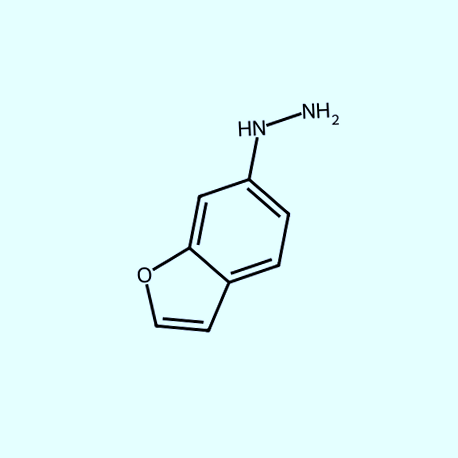 NNc1ccc2ccoc2c1